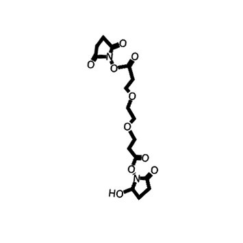 O=C(CCOCCOCCC(=O)ON1C(=O)CCC1O)ON1C(=O)CCC1=O